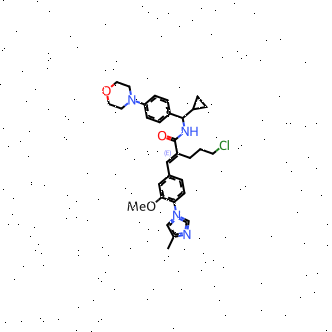 COc1cc(/C=C(\CCCCl)C(=O)NC(c2ccc(N3CCOCC3)cc2)C2CC2)ccc1-n1cnc(C)c1